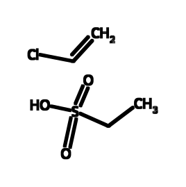 C=CCl.CCS(=O)(=O)O